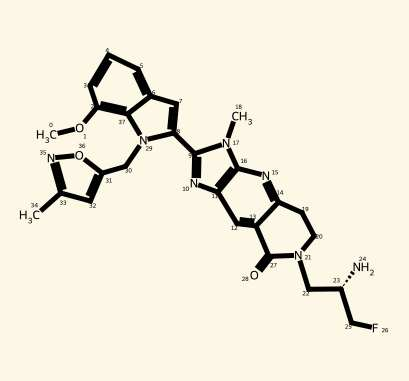 COc1cccc2cc(-c3nc4cc5c(nc4n3C)CCN(C[C@H](N)CF)C5=O)n(Cc3cc(C)no3)c12